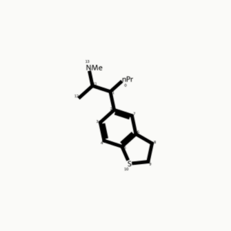 CCCC(c1ccc2c(c1)CCS2)C(C)NC